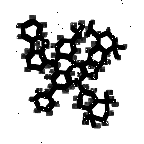 CC(C)C1CCC(C)(C)c2cc3oc4c(c3cc21)B1c2cc(C(C)(C)C)ccc2N(c2cccc3c2oc2ccccc23)c2cc(C3=CCCC=C3)cc(c21)N4C1=CC2C(C=C1)C(C)(C)CCC2(C)C